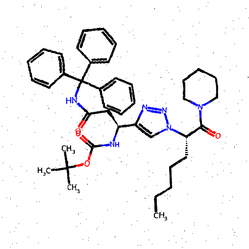 CCCCC[C@@H](C(=O)N1CCCCC1)n1cc([C@H](CC(=O)NC(c2ccccc2)(c2ccccc2)c2ccccc2)NC(=O)OC(C)(C)C)nn1